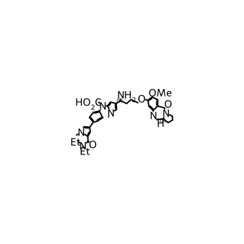 CCN(CC)C(=O)c1cc(-c2ccc(N(C(=O)O)c3cc([C@@H](N)CCCOc4cc5c(cc4OC)C(=O)N4CCC[C@H]4C=N5)cn3C)cc2)cn1C